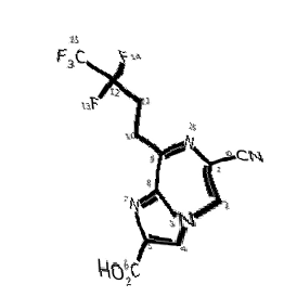 N#Cc1cn2cc(C(=O)O)nc2c(CCC(F)(F)C(F)(F)F)n1